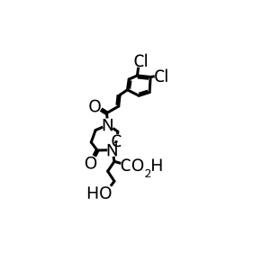 O=C(O)C(CCO)N1CCN(C(=O)C=Cc2ccc(Cl)c(Cl)c2)CCC1=O